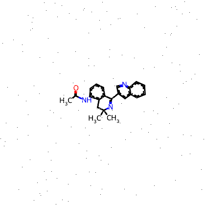 CC(=O)Nc1cccc2c1CC(C)(C)N=C2c1cnc2ccccc2c1